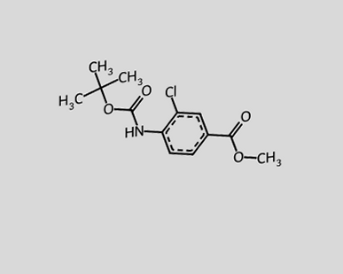 COC(=O)c1ccc(NC(=O)OC(C)(C)C)c(Cl)c1